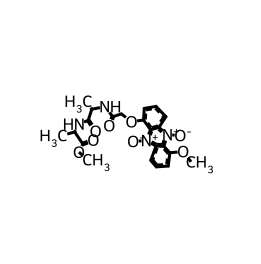 COC(=O)C(C)NC(=O)C(C)NC(=O)COc1cccc2c1[n+]([O-])c1cccc(OC)c1[n+]2[O-]